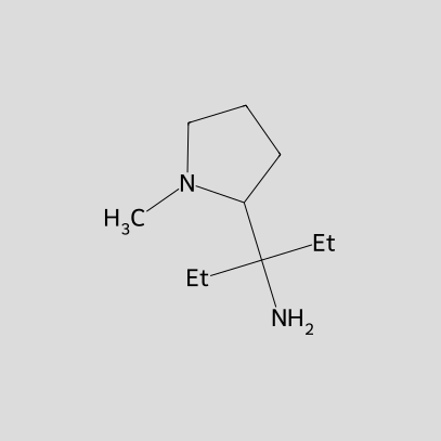 CCC(N)(CC)C1CCCN1C